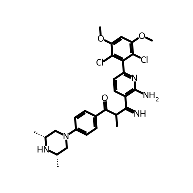 COc1cc(OC)c(Cl)c(-c2ccc(C(=N)C(C)C(=O)c3ccc(N4C[C@@H](C)N[C@@H](C)C4)cc3)c(N)n2)c1Cl